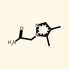 Cc1cnn(CC(N)=O)c1C